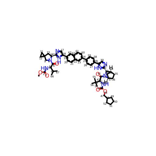 COC(=O)N[C@H](C(=O)N1CC2(CC2)C[C@H]1c1ncc(-c2ccc3cc(-c4ccc(-c5cnc([C@@H]6[C@H]7CC[C@H](C7)N6C(=O)[C@@H](NC(=O)OCC6CCCC6)C(C)(C)C)[nH]5)cc4)ccc3c2)[nH]1)C(C)C